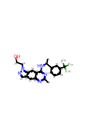 Cc1nc(NC(C)c2cccc(C(F)(F)F)c2)c2cc3c(cnn3CCO)cc2n1